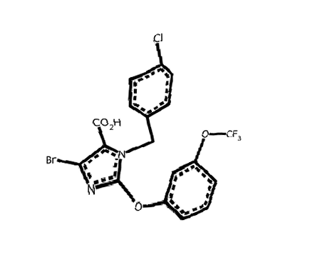 O=C(O)c1c(Br)nc(Oc2cccc(OC(F)(F)F)c2)n1Cc1ccc(Cl)cc1